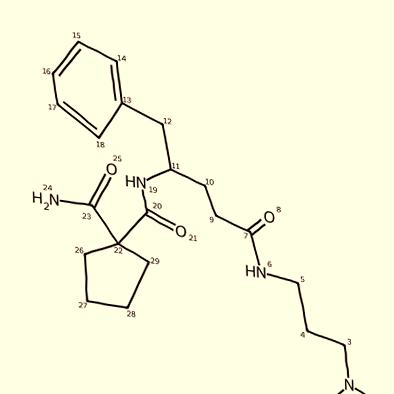 CN(C)CCCNC(=O)CCC(Cc1ccccc1)NC(=O)C1(C(N)=O)CCCC1